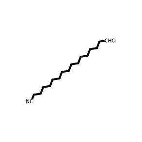 N#CCCCCCCCCCCCCCCCC=O